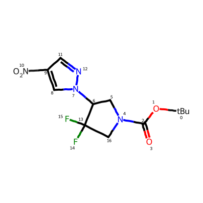 CC(C)(C)OC(=O)N1CC(n2cc([N+](=O)[O-])cn2)C(F)(F)C1